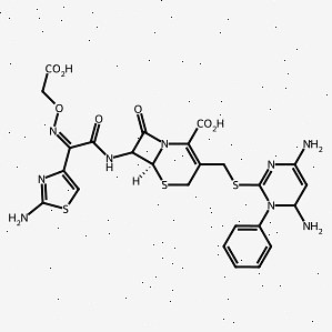 NC1=CC(N)N(c2ccccc2)C(SCC2=C(C(=O)O)N3C(=O)C(NC(=O)/C(=N\OCC(=O)O)c4csc(N)n4)[C@@H]3SC2)=N1